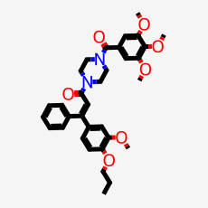 CCCOc1ccc(C(=CC(=O)N2CCN(C(=O)c3cc(OC)c(OC)c(OC)c3)CC2)c2ccccc2)cc1OC